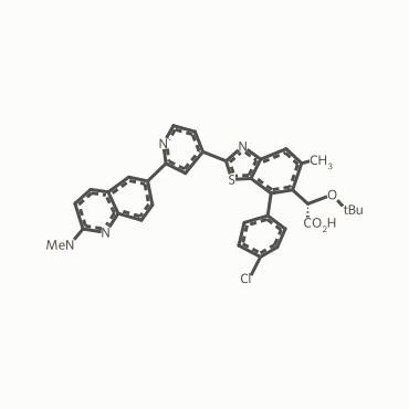 CNc1ccc2cc(-c3cc(-c4nc5cc(C)c([C@H](OC(C)(C)C)C(=O)O)c(-c6ccc(Cl)cc6)c5s4)ccn3)ccc2n1